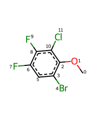 COc1c(Br)cc(F)c(F)c1Cl